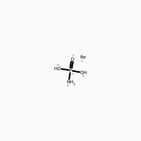 NP(=O)(O)O.[Re]